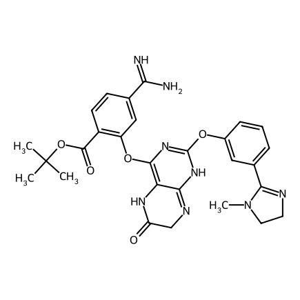 CN1CCN=C1c1cccc(OC2=NC(Oc3cc(C(=N)N)ccc3C(=O)OC(C)(C)C)=C3NC(=O)CN=C3N2)c1